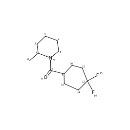 CC1CCCCN1C(=O)C1CCC(F)(F)CC1